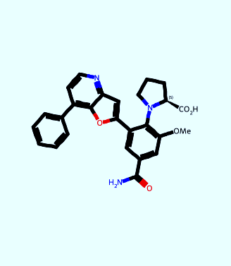 COc1cc(C(N)=O)cc(-c2cc3nccc(-c4ccccc4)c3o2)c1N1CCC[C@H]1C(=O)O